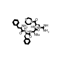 CCCC[C@@H](NC(=O)[C@@H](Cc1ccccc1)NC(=O)[C@H](N)Cc1ccccc1)C(=O)N[C@H](CNC(=N)N)C(=O)N1CCCSCC1